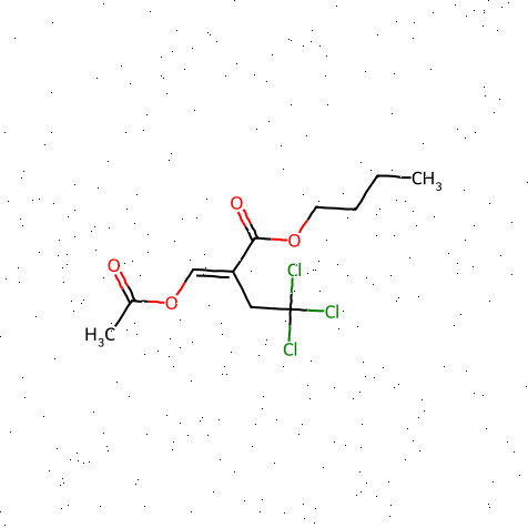 CCCCOC(=O)/C(=C/OC(C)=O)CC(Cl)(Cl)Cl